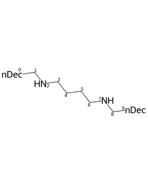 CCCCCCCCCCCNCCCCNCCCCCCCCCCC